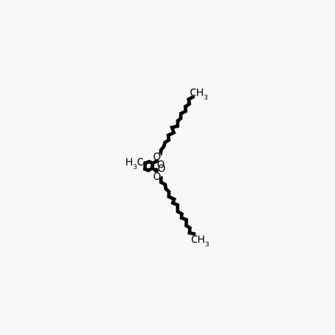 CCCCCCCCCCCCCCCCCCOC(=O)C1CCC(C)CC1C(=O)OCCCCCCCCCCCCCCCCCC